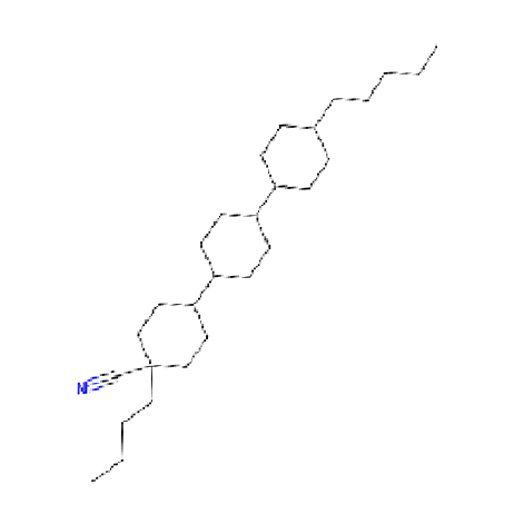 CCCCCC1CCC(C2CCC(C3CCC(C#N)(CCCC)CC3)CC2)CC1